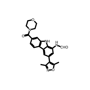 Cc1noc(C)c1-c1cc(NC=O)c2[nH]c3cc(C(=O)N4CCOCC4)ccc3c2c1